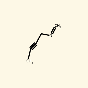 C=NCC#CC